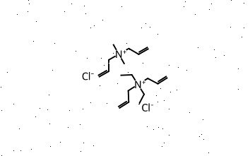 C=CC[N+](C)(C)CC=C.C=CC[N+](CC)(CC)CC=C.[Cl-].[Cl-]